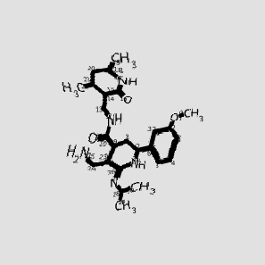 COc1cccc(C2CC(C(=O)NCC3C(=O)NC(C)CC3C)C(CN)/C(=N/C(C)C)N2)c1